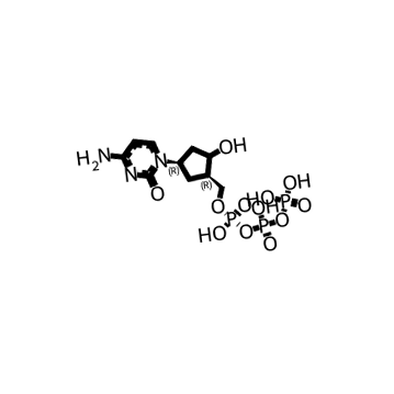 Nc1ccn([C@H]2CC(O)[C@@H](COP(=O)(O)OP(=O)(O)OP(=O)(O)O)C2)c(=O)n1